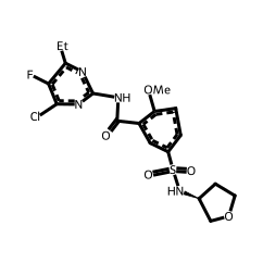 CCc1nc(NC(=O)c2cc(S(=O)(=O)N[C@H]3CCOC3)ccc2OC)nc(Cl)c1F